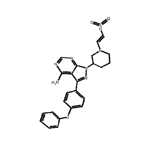 Nc1ncnc2c1c(-c1ccc(Oc3ccccc3)cc1)nn2C1CCCN(C=C[SH](=O)=O)C1